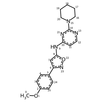 COc1ccc(-c2cc(Nc3ccnc(N4CCCCC4)n3)on2)cc1